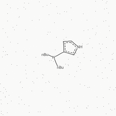 CCCCN(CCCC)c1[c][nH]cc1